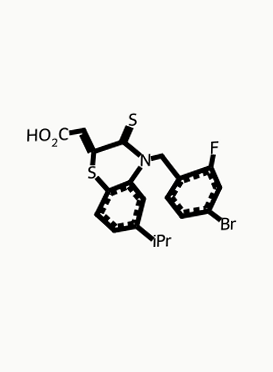 CC(C)c1ccc2c(c1)N(Cc1ccc(Br)cc1F)C(=S)C(=CC(=O)O)S2